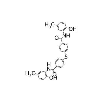 Cc1ccc(O)c(NC(=O)c2ccc(Sc3ccc(C(=O)Nc4cc(C)ccc4O)cc3)cc2)c1